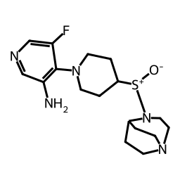 Nc1cncc(F)c1N1CCC([S+]([O-])N2CCN3CCC2CC3)CC1